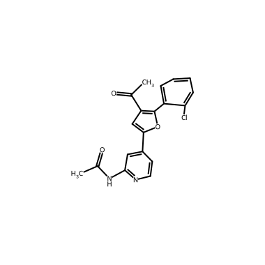 CC(=O)Nc1cc(-c2cc(C(C)=O)c(-c3ccccc3Cl)o2)ccn1